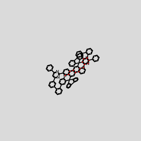 c1ccc(-c2cc(-c3cccc(-c4ccccc4-c4ccc5c(c4)C4(c6ccccc6O5)c5ccccc5-c5ccccc54)c3)nc(-c3ccc(-c4ccc5c(c4)C4(c6cc(-c7ccccc7-c7ccccc7-c7cc(-c8ccccc8)nc(-c8ccccc8)n7)ccc6O5)c5ccccc5-c5ccccc54)cc3)n2)cc1